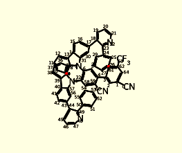 N#Cc1cc(-c2cc(-n3c4ccccc4c4ccc(-c5cccnc5-c5ccccc5)cc43)c(-n3c4ccccc4c4ccc(-c5cccnc5-c5ccccc5)cc43)cc2C#N)cc(C(F)(F)F)c1